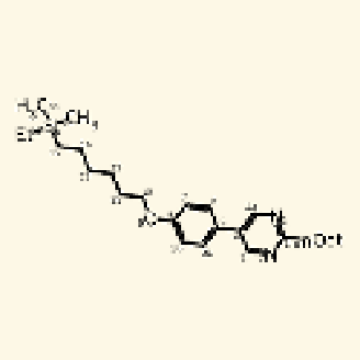 CCCCCCCCc1ncc(-c2ccc(OCCCCCC[Si](C)(C)CC)cc2)cn1